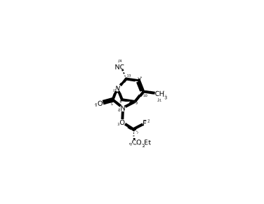 CCOC(=O)[C@@H](F)ON1C(=O)N2CC1C(C)=C[C@H]2C#N